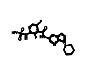 CCCS(=O)(=O)Nc1ccc(F)c(C(=O)Nc2cnc3c(ccn3C3CC=CCC3)c2)c1F